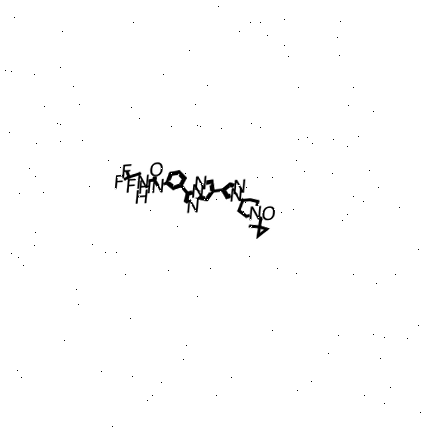 CC1(C(=O)N2CCC(n3cc(-c4cnn5c(-c6cccc(NC(=O)NCC(F)(F)F)c6)cnc5c4)cn3)CC2)CC1